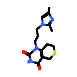 Cc1cn(CCCn2c3c(c(=O)[nH]c2=O)CSCC3)c(C)n1